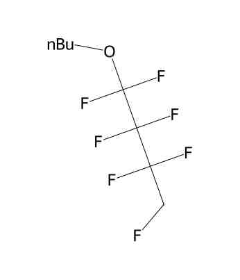 [CH2]CCCOC(F)(F)C(F)(F)C(F)(F)CF